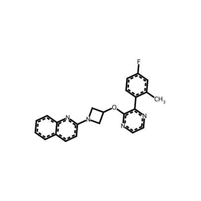 Cc1cc(F)ccc1-c1nccnc1OC1CN(c2ccc3ccccc3n2)C1